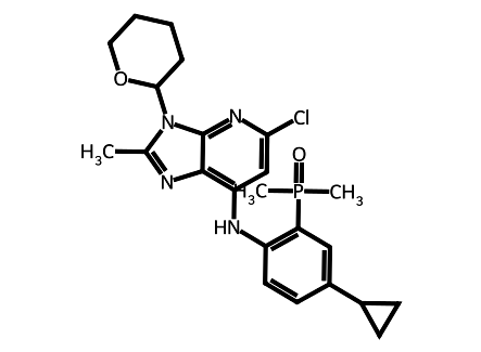 Cc1nc2c(Nc3ccc(C4CC4)cc3P(C)(C)=O)cc(Cl)nc2n1C1CCCCO1